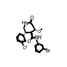 CO[C@H]1CC(=O)NC[C@@H](c2cccc(Cl)c2)C1C(=O)Nc1cccc(Br)c1